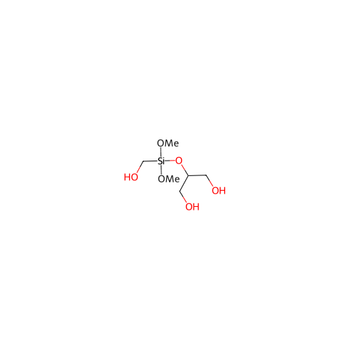 CO[Si](CO)(OC)OC(CO)CO